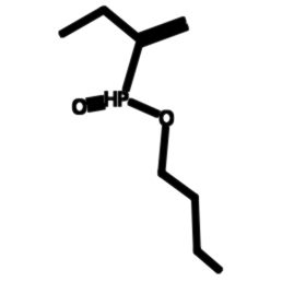 C=C(CC)[PH](=O)OCCCC